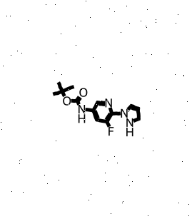 CC(C)(C)OC(=O)Nc1cnc(N2C=CCN2)c(F)c1